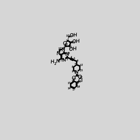 Nc1nc(C#CCC2CCN(C(=O)Oc3ccccc3Cl)CC2)nc2c1ncn2[C@@H]1O[C@H](CO)C(O)[C@@H]1O